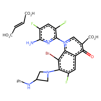 CC(C)NC1CN(c2c(F)cc3c(=O)c(C(=O)O)cn(-c4nc(N)c(F)cc4F)c3c2Br)C1.O=C(O)C=CC(=O)O